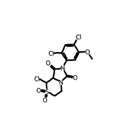 COc1cc(N2C(=O)C3C(Cl)S(=O)(=O)CCN3C2=O)c(Cl)cc1Cl